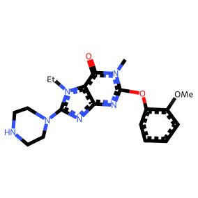 CCn1c(N2CCNCC2)nc2nc(Oc3ccccc3OC)n(C)c(=O)c21